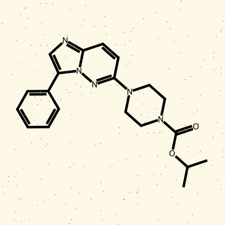 CC(C)OC(=O)N1CCN(c2ccc3ncc(-c4ccccc4)n3n2)CC1